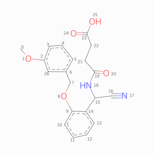 COc1cccc(COc2ccccc2C(C#N)NC(=O)CCC(=O)O)c1